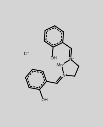 Oc1ccccc1C=[N+]1CC[N+](=Cc2ccccc2O)[Mn+]1.[Cl-]